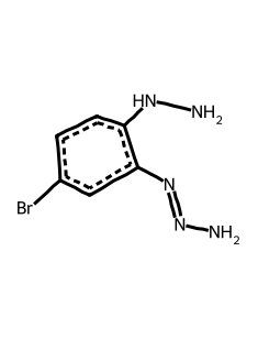 NN=Nc1cc(Br)ccc1NN